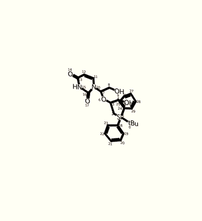 CC(C)(C)[Si](CC(CO)OC(CO)n1ccc(=O)[nH]c1=O)(c1ccccc1)c1ccccc1